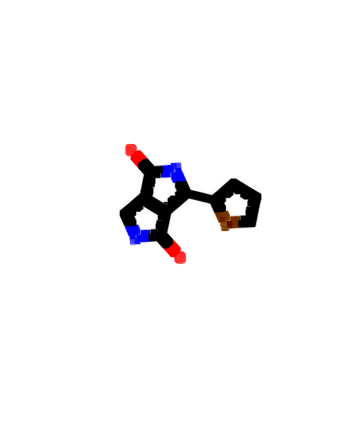 O=c1nc(-c2cccs2)c2c(=O)ncc1=2